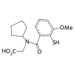 COc1cccc(C(=O)N(CC(=O)O)C2CCCC2)c1S